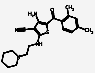 Cc1ccc(C(=O)c2sc(NCCN3CCCCC3)c(C#N)c2N)c(C)c1